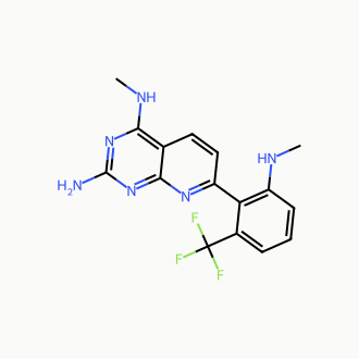 CNc1cccc(C(F)(F)F)c1-c1ccc2c(NC)nc(N)nc2n1